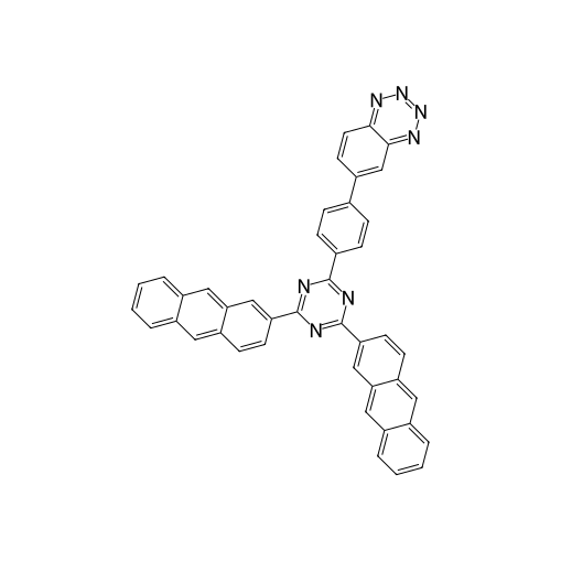 c1ccc2cc3cc(-c4nc(-c5ccc(-c6ccc7nnnnc7c6)cc5)nc(-c5ccc6cc7ccccc7cc6c5)n4)ccc3cc2c1